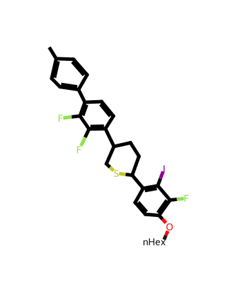 CCCCCCOc1ccc(C2CCC(c3ccc(-c4ccc(C)cc4)c(F)c3F)CS2)c(I)c1F